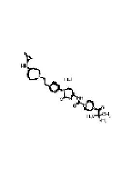 CC(C)(N)C(=O)N1CCN(C(=O)Nc2ccn(-c3ccc(CCN4CCCC(NC5CC5)CC4)cc3)c(=O)n2)CC1.Cl